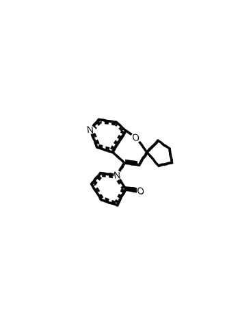 O=c1ccccn1C1=CC2(CCCC2)Oc2ccncc21